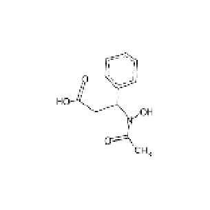 CC(=O)N(O)C(CC(=O)O)c1ccccc1